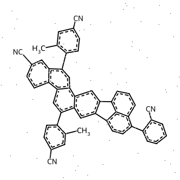 Cc1cc(C#N)ccc1-c1cc2c3cc4c(cc3c(-c3ccc(C#N)cc3C)cc2c2ccc(C#N)cc12)-c1ccc(-c2ccccc2C#N)c2cccc-4c12